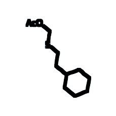 CC(=O)OCSCCC1CCCCC1